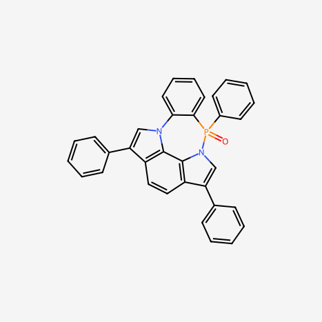 O=P1(c2ccccc2)c2ccccc2-n2cc(-c3ccccc3)c3ccc4c(-c5ccccc5)cn1c4c32